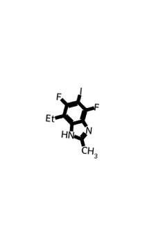 CCc1c(F)c(I)c(F)c2nc(C)[nH]c12